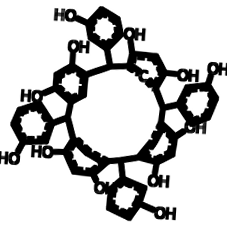 Oc1cccc(C2c3cc(c(O)cc3O)C(c3cccc(O)c3)c3cc(c(O)cc3O)C(c3cccc(O)c3)c3cc(c(O)cc3O)C(c3cccc(O)c3)c3cc2c(O)cc3O)c1